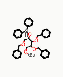 CC(C)(C)OC[C@H](OCc1ccccc1)[C@H](OCc1ccccc1)[C@@H](COCc1ccccc1)O[SiH](c1ccccc1)c1ccccc1